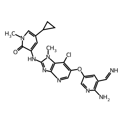 Cn1cc(C2CC2)cc(Nc2nc3ncc(Oc4cnc(N)c(C=N)c4)c(Cl)c3n2C)c1=O